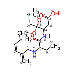 C=C(/C=C\CC)CNC(CC)C(=O)NC(CC(=O)O)C(CF)(OC)OC